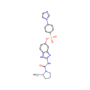 O=C(O)C1CCCN1C(=O)Nc1nc2cc(OS(=O)(=O)c3ccc(-n4ccnc4)cc3)ccc2[nH]1